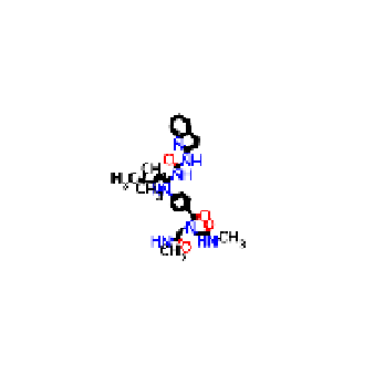 CNC(=O)CN(CC(=O)NC)C(=O)c1ccc(-n2nc(C(C)(C)C)cc2NC(=O)Nc2ccc3ccccc3n2)cc1